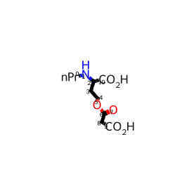 CCCNC(CCOC(=O)CC(=O)O)C(=O)O